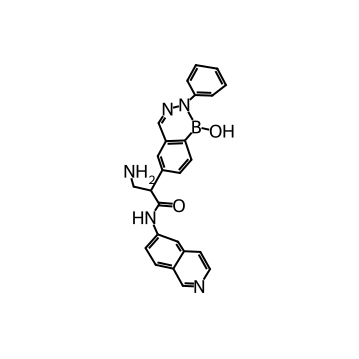 NCC(C(=O)Nc1ccc2cnccc2c1)c1ccc2c(c1)C=NN(c1ccccc1)B2O